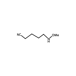 CONCCCCC#N